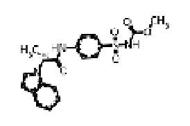 COC(=O)NS(=O)(=O)c1ccc(NC(=O)[C@@H](C)n2ccc3ccccc32)cc1